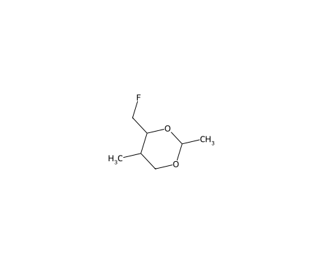 CC1OCC(C)C(CF)O1